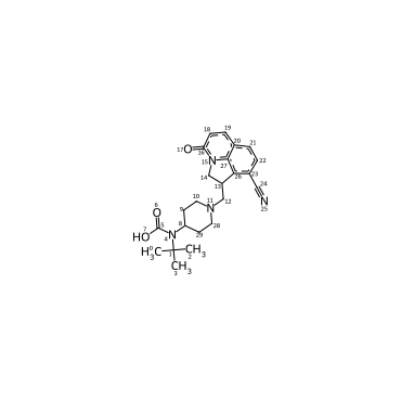 CC(C)(C)N(C(=O)O)C1CCN(CC2Cn3c(=O)ccc4ccc(C#N)c2c43)CC1